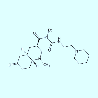 CCN(C(=O)NCCN1CCCCC1)C(=O)[C@@H]1C[C@@H]2CC(=O)CC[C@H]2N(C)C1